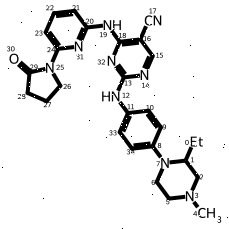 CCC1CN(C)CCN1c1ccc(Nc2ncc(C#N)c(Nc3cccc(N4CCCC4=O)n3)n2)cc1